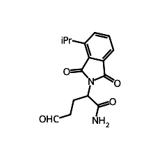 CC(C)c1cccc2c1C(=O)N(C(CCC=O)C(N)=O)C2=O